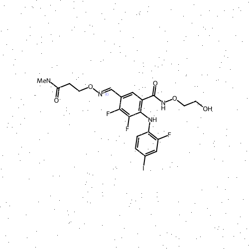 CNC(=O)CCO/N=C/c1cc(C(=O)NOCCO)c(Nc2ccc(I)cc2F)c(F)c1F